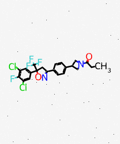 CCC(=O)N1CC(c2ccc(C3=NOC(c4cc(Cl)c(F)c(Cl)c4)(C(F)(F)F)C3)cc2)C1